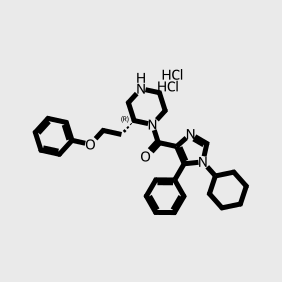 Cl.Cl.O=C(c1ncn(C2CCCCC2)c1-c1ccccc1)N1CCNC[C@H]1CCOc1ccccc1